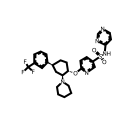 O=S(=O)(Nc1ccncn1)c1ccc(O[C@H]2CC[C@H](c3cccc(C(F)(F)F)c3)C[C@@H]2N2CCCCC2)nc1